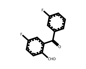 O=[C]c1ccc(F)cc1C(=O)c1cccc(F)c1